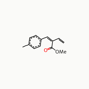 C=CC(=Cc1ccc(C)cc1)C(=O)OC